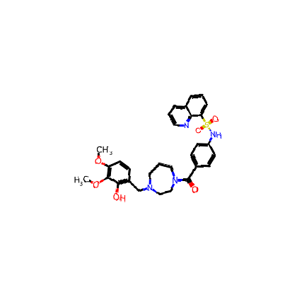 COc1ccc(CN2CCCN(C(=O)c3ccc(NS(=O)(=O)c4cccc5cccnc45)cc3)CC2)c(O)c1OC